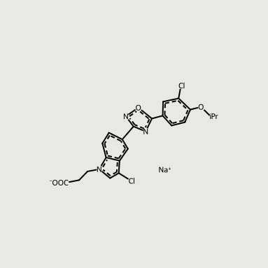 CC(C)Oc1ccc(-c2nc(-c3ccc4c(c3)c(Cl)cn4CCC(=O)[O-])no2)cc1Cl.[Na+]